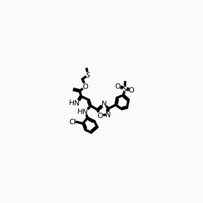 C=C(OCSC)C(=N)/C=C(\Nc1ccccc1Cl)c1nc(-c2cccc(S(C)(=O)=O)c2)no1